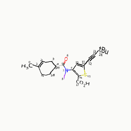 CC1=CC[C@H](C(=O)N(I)c2cc(C#CC(C)(C)C)sc2C(=O)O)CC1